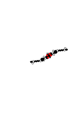 C=CC(=O)OCCCCCCOc1ccc(C(=O)Oc2ccc(C(c3ccc(OC(=O)c4ccc(OCCCCCCOC(=O)C=C)cc4F)cc3)(C(F)(F)F)C(F)(F)F)cc2)c(F)c1